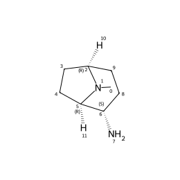 CN1[C@H]2CC[C@@H]1[C@@H](N)CC2